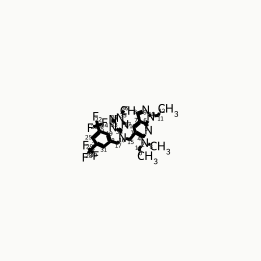 CCN(C)c1nc2c(cnn2CC)cc1CN(Cc1cc(C(F)(F)F)cc(C(F)(F)F)c1)c1nnn(C)n1